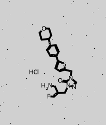 Cl.NC/C(=C\F)Cn1ncn(Cc2ccc(-c3ccc(C4CCOCC4)cc3)s2)c1=O